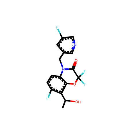 CC(O)c1c(F)ccc2c1OC(F)(F)C(=O)N2Cc1cncc(F)c1